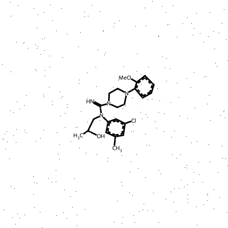 COc1ccccc1N1CCN(C(=N)N(CC(C)O)c2cc(C)cc(Cl)c2)CC1